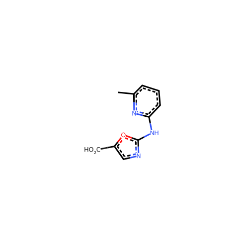 Cc1cccc(Nc2ncc(C(=O)O)o2)n1